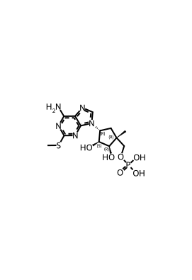 CSc1nc(N)c2ncn([C@@H]3C[C@](C)(COP(=O)(O)O)[C@@H](O)[C@H]3O)c2n1